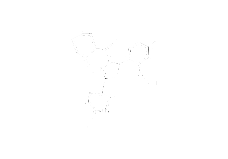 COc1cc(F)ccc1C1SC(c2ccc(F)nc2)=NN1C(=O)c1ccccc1O